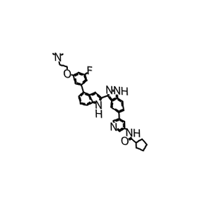 CN(C)CCOc1cc(F)cc(-c2cccc3[nH]c(-c4n[nH]c5ccc(-c6cncc(NC(=O)C7CCCC7)c6)cc45)cc23)c1